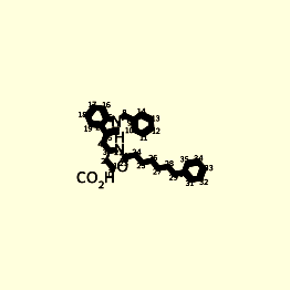 O=C(O)CC[C@@H](Cc1cn(Cc2ccccc2)c2ccccc12)NC(=O)CCCCCCc1ccccc1